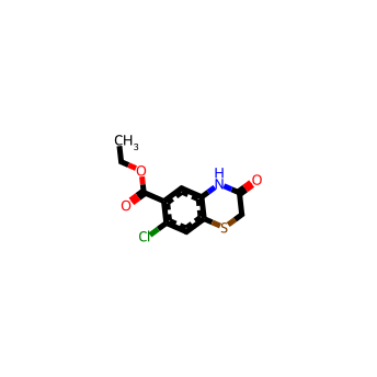 CCOC(=O)c1cc2c(cc1Cl)SCC(=O)N2